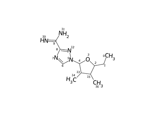 CCC1OC(n2cnc(C(=N)N)n2)C(C)C1C